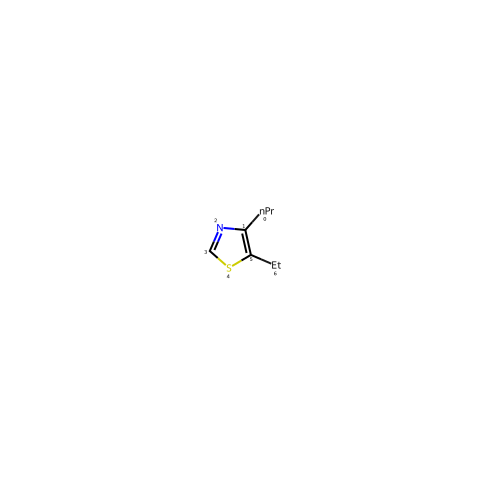 CCCc1ncsc1CC